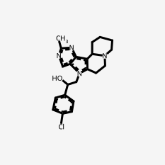 Cc1ncc2c(n1)c1c(n2CC(O)c2ccc(Cl)cc2)CCN2CCCCC12